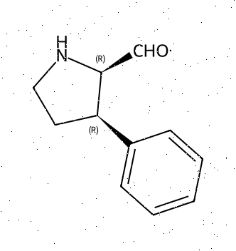 O=[C][C@@H]1NCC[C@@H]1c1ccccc1